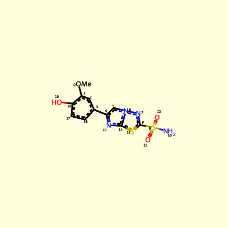 COc1cc(-c2cn3nc(S(N)(=O)=O)sc3n2)ccc1O